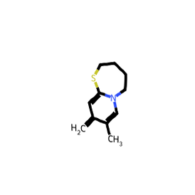 C=C1C=C2SCCCCN2C=C1C